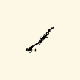 CCCCC[C@H]1CC[C@H]([C@H]2CC[C@H](C(=O)Oc3ccc(OC(=O)c4ccc(OCCCCCCCCOc5ccc(C(=O)c6ccccc6)c(O)c5)cc4)cc3C)CC2)CC1